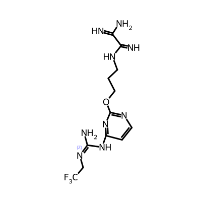 N=C(N)C(=N)NCCCOc1nccc(N/C(N)=N\CC(F)(F)F)n1